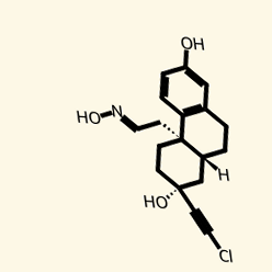 ON=CC[C@@]12CC[C@](O)(C#CCl)C[C@H]1CCc1cc(O)ccc12